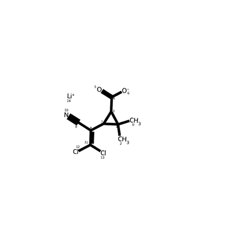 CC1(C)C(C(=O)[O-])C1C(C#N)=C(Cl)Cl.[Li+]